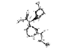 CNC(=O)N(c1cccc(Cl)c1)c1ccnc(C(=O)NC(C)(C)C)c1